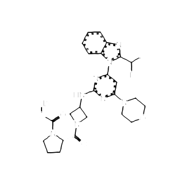 CC(C)(C)OC(=O)N1CCC[C@H]1C(=O)N1CC(Nc2nc(N3CCOCC3)cc(-n3c(C(F)F)nc4ccccc43)n2)C1